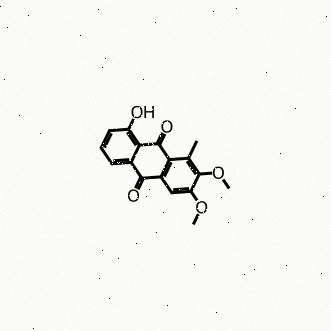 COc1cc2c(c(C)c1OC)C(=O)c1c(O)cccc1C2=O